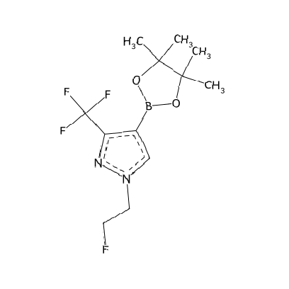 CC1(C)OB(c2cn(CCF)nc2C(F)(F)F)OC1(C)C